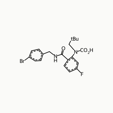 CC(C)(C)CN(C(=O)O)c1cc(F)ccc1C(=O)NCc1ccc(Br)cc1